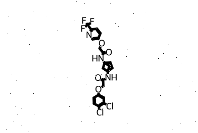 O=C(COc1ccc(C(F)(F)F)nc1)NC12CCC(NC(=O)COc3ccc(Cl)c(Cl)c3)(C1)C2